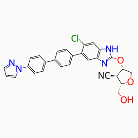 N#C[C@@H]1[C@@H](CO)OC[C@H]1Oc1nc2cc(-c3ccc(-c4ccc(-n5cccn5)cc4)cc3)c(Cl)cc2[nH]1